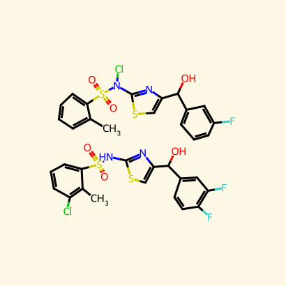 Cc1c(Cl)cccc1S(=O)(=O)Nc1nc(C(O)c2ccc(F)c(F)c2)cs1.Cc1ccccc1S(=O)(=O)N(Cl)c1nc(C(O)c2cccc(F)c2)cs1